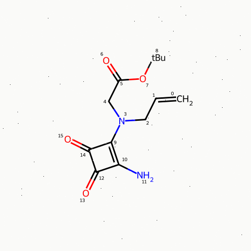 C=CCN(CC(=O)OC(C)(C)C)c1c(N)c(=O)c1=O